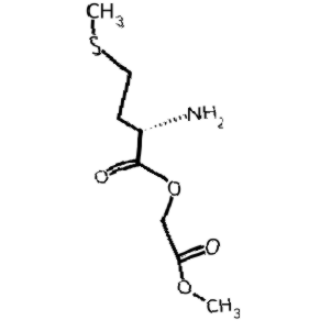 COC(=O)COC(=O)[C@@H](N)CCSC